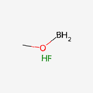 BOC.F